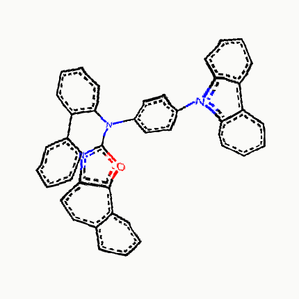 c1ccc(-c2ccccc2N(c2ccc(-n3c4ccccc4c4ccccc43)cc2)c2nc3ccc4ccccc4c3o2)cc1